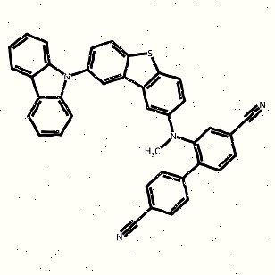 CN(c1ccc2sc3ccc(-n4c5ccccc5c5ccccc54)cc3c2c1)c1cc(C#N)ccc1-c1ccc(C#N)cc1